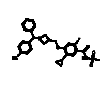 CS(=O)(=O)NC(=O)c1cc(C2CC2)c(OCC2CN(C(c3ccccc3)c3ccc(C#N)cc3)C2)cc1F